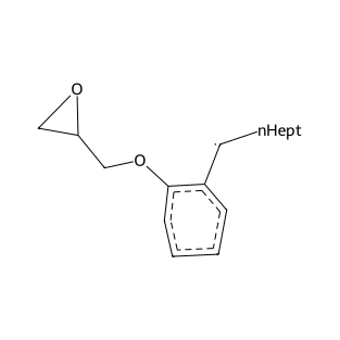 CCCCCCC[CH]c1ccccc1OCC1CO1